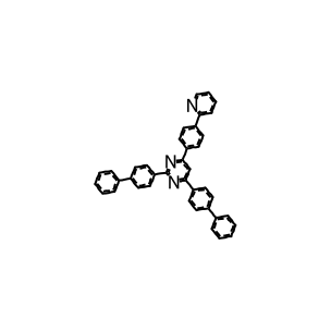 c1ccc(-c2ccc(-c3cc(-c4ccc(-c5ccccn5)cc4)nc(-c4ccc(-c5ccccc5)cc4)n3)cc2)cc1